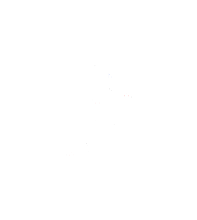 CC1=C(OC(=O)N(C)C)CCCC1=O